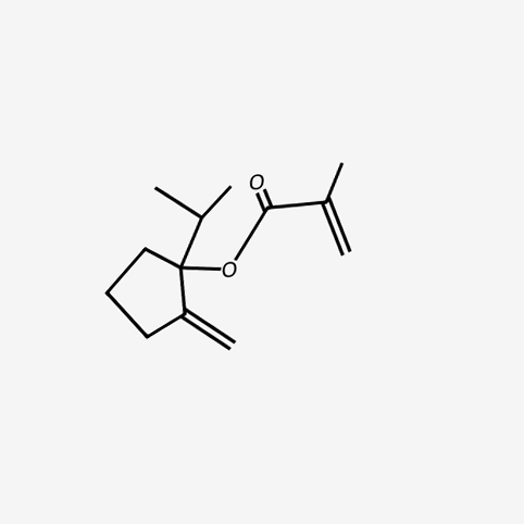 C=C(C)C(=O)OC1(C(C)C)CCCC1=C